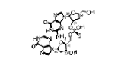 Nc1nc2c(ncn2[C@@H]2O[C@H](CO)C[C@H]2OP(O)(=S)OC[C@H]2O[C@@H](n3cnc4c(=O)[nH]cnc43)C[C@@H]2O)c(=O)[nH]1